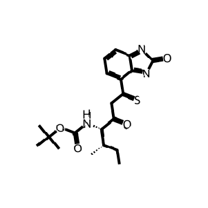 CC[C@H](C)[C@H](NC(=O)OC(C)(C)C)C(=O)CC(=S)c1cccc2c1=NC(=O)N=2